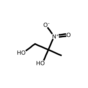 CC(O)(CO)[N+](=O)[O-]